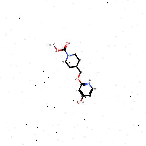 CC(C)OC(=O)N1CCC(COc2cc(Br)ccn2)CC1